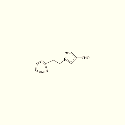 O=Cc1ccn(CCc2ccccc2)c1